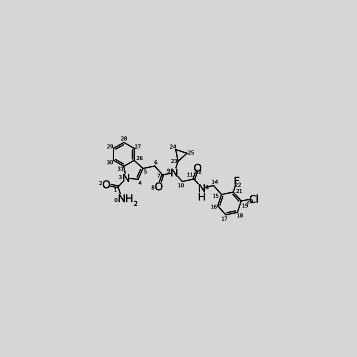 NC(=O)n1cc(CC(=O)N(CC(=O)NCc2cccc(Cl)c2F)C2CC2)c2ccccc21